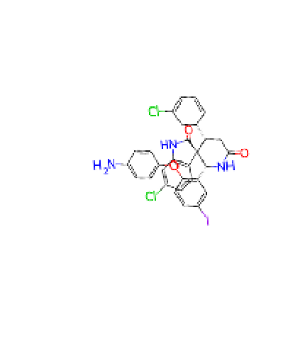 Nc1ccc(Oc2ccc(I)cc2[C@H]2NC(=O)C[C@@H](C3C=CC=C(Cl)C3)[C@]23C(=O)Nc2cc(Cl)ccc23)cc1